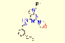 Cc1cccc(/C=N/Nc2nc(N3CCOCC3)nc3c2ccn3CC(C)C)c1